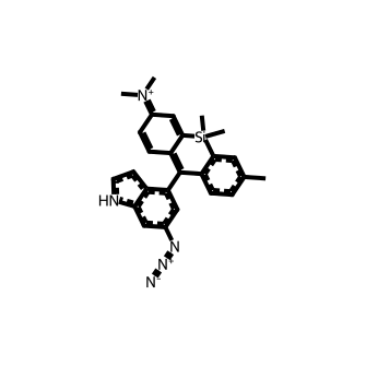 Cc1ccc2c(c1)[Si](C)(C)C1=CC(=[N+](C)C)C=CC1=C2c1cc(N=[N+]=[N-])cc2[nH]ccc12